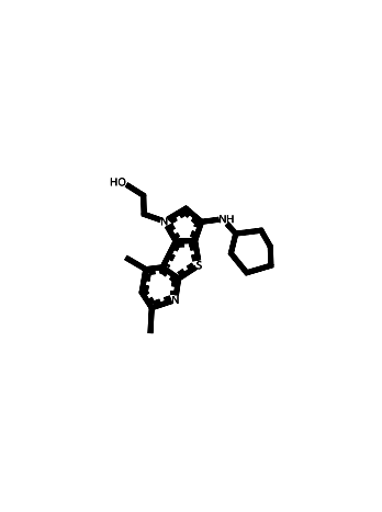 Cc1cc(C)c2c(n1)sc1c(NC3CCCCC3)cn(CCO)c12